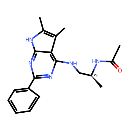 CC(=O)N[C@@H](C)CNc1nc(-c2ccccc2)nc2[nH]c(C)c(C)c12